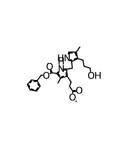 COC(=O)CCc1c(Cc2[nH]cc(C)c2CCCO)[nH]c(C(=O)OCc2ccccc2)c1C